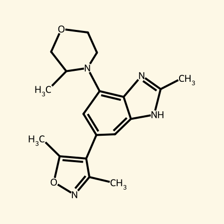 Cc1nc2c(N3CCOCC3C)cc(-c3c(C)noc3C)cc2[nH]1